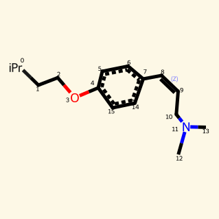 CC(C)CCOc1ccc(/C=C\CN(C)C)cc1